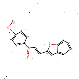 CCOc1ccc(C(=O)C=Cc2cc3ccccc3o2)cc1